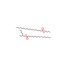 CCCCCCCCCCCCCCCC(=O)OCC(CC)CCCC.CCCCCCCCCCCCCCCCCC(=O)OCCCC